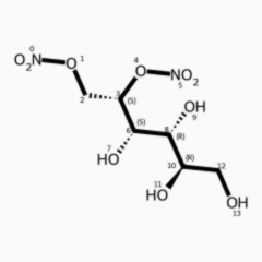 O=[N+]([O-])OC[C@H](O[N+](=O)[O-])[C@@H](O)[C@H](O)[C@H](O)CO